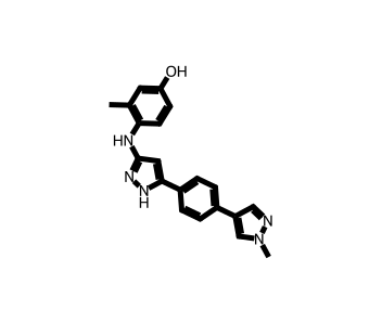 Cc1cc(O)ccc1Nc1cc(-c2ccc(-c3cnn(C)c3)cc2)[nH]n1